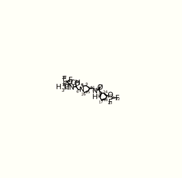 CC(C)(NC(=O)CN1CCC(CNC(=O)c2cccc(OC(F)F)c2)CC1)C(F)(F)F